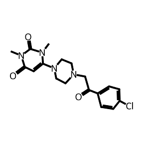 Cn1c(N2CCN(CC(=O)c3ccc(Cl)cc3)CC2)cc(=O)n(C)c1=O